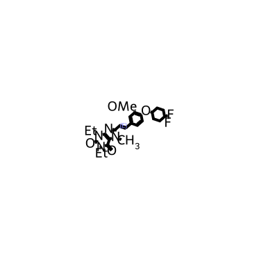 CCn1c(=O)c2c(nc(/C=C/c3ccc(OC4CCC(F)(F)CC4)c(OC)c3)n2C)n(CC)c1=O